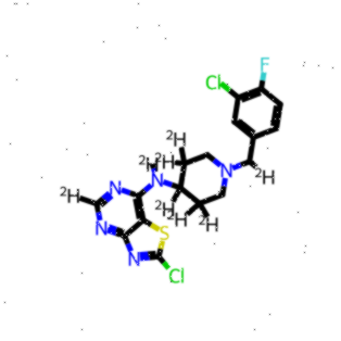 [2H]c1nc(N([2H])C2([2H])C([2H])([2H])CN(C([2H])c3ccc(F)c(Cl)c3)CC2([2H])[2H])c2sc(Cl)nc2n1